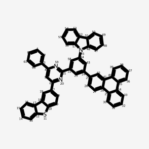 c1ccc(-c2cc(-c3ccc4sc5ccccc5c4c3)nc(-c3cc(-c4ccc5c6ccccc6c6ccccc6c5c4)cc(-n4c5ccccc5c5ccccc54)c3)n2)cc1